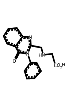 O=C(O)CNCc1nc2ccccc2c(=O)n1-c1ccccc1